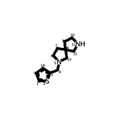 c1csc(CN2CCC3(CCNC3)C2)c1